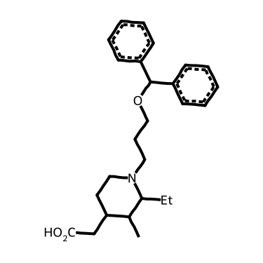 CCC1C(C)C(CC(=O)O)CCN1CCCOC(c1ccccc1)c1ccccc1